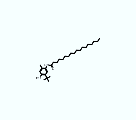 CCCCCCCCCCCCCCCCCC(=O)Nc1cc(C(C)(C)C)c(O)cc1C